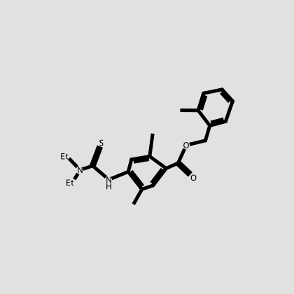 CCN(CC)C(=S)Nc1cc(C)c(C(=O)OCc2ccccc2C)cc1C